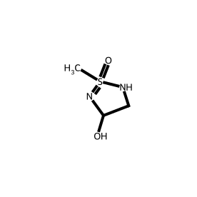 CS1(=O)=NC(O)CN1